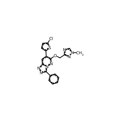 Cn1cnc(COc2nn3c(-c4ccccc4)nnc3cc2-c2ccc(Cl)s2)n1